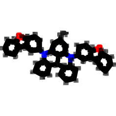 CC(C)c1cc2c3c(c1)N(c1ccc4oc5ccccc5c4c1)c1ccccc1B3c1ccccc1N2c1ccc2oc3ccccc3c2c1